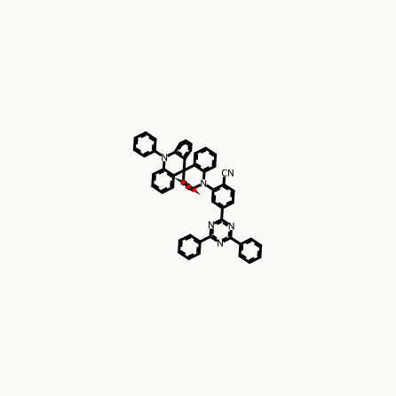 N#Cc1ccc(-c2nc(-c3ccccc3)nc(-c3ccccc3)n2)cc1N1c2ccccc2C2(c3ccccc3N(c3ccccc3)c3ccccc32)c2ccccc21